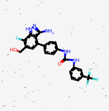 Nc1n[nH]c2c(F)c(CO)cc(-c3ccc(NC(=O)Nc4cccc(C(F)(F)F)c4)cc3)c12